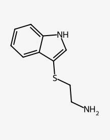 NCCSc1c[nH]c2ccccc12